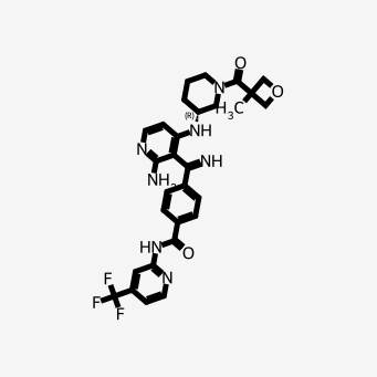 CC1(C(=O)N2CCC[C@@H](Nc3ccnc(N)c3C(=N)c3ccc(C(=O)Nc4cc(C(F)(F)F)ccn4)cc3)C2)COC1